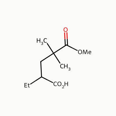 CCC(CC(C)(C)C(=O)OC)C(=O)O